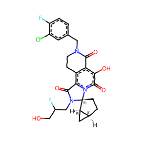 O=C1c2c(c3n(c(=O)c2O)[C@@]2(CC[C@H]4C[C@H]42)N(CC(F)CO)C3=O)CCN1Cc1ccc(F)c(Cl)c1